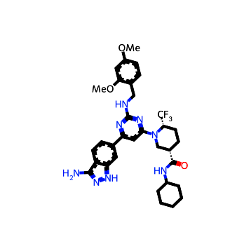 COc1ccc(CNc2nc(-c3ccc4c(N)n[nH]c4c3)cc(N3C[C@@H](C(=O)NC4CCCCC4)CC[C@H]3C(F)(F)F)n2)c(OC)c1